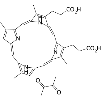 CC(=O)C(C)=O.CC1=Cc2cc3[nH]c(cc4nc(cc5[nH]c(cc1n2)c(C)c5CCC(=O)O)C(CCC(=O)O)=C4C)cc3C